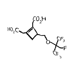 O=C(O)C1=C(C(=O)O)C(COC(F)(C(F)(F)F)C(F)(F)F)C1